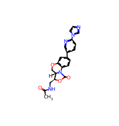 CC(=O)NC[C@@H]1OC(=O)N2c3ccc(-c4ccc(-n5ccnc5)nc4)cc3OC[C@@H]12